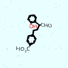 O=CC(CCc1ccc(C(=O)O)cc1)c1ccccc1O